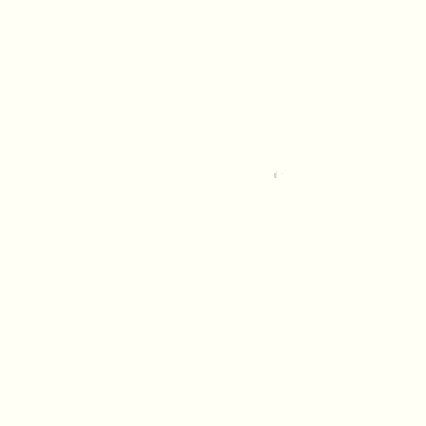 Cc1cc(OC(C)C)ccc1F